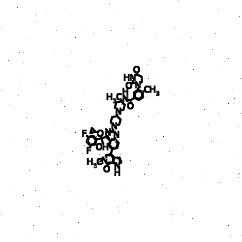 Cc1ccc(C(=O)NC2(C)CCN(C3CCN(c4nc(C(CO)(OC5CC5)c5cc(F)cc(F)c5)c5cc(-c6cn(C)c(=O)c7[nH]ccc67)ccc5n4)CC3)CC2)cc1N1CCC(=O)NC1=O